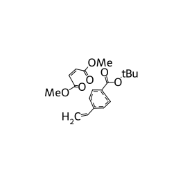 C=Cc1ccc(C(=O)OC(C)(C)C)cc1.COC(=O)/C=C\C(=O)OC